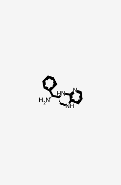 N[C@H](c1ccccc1)[C@H]1CNc2cccnc2N1